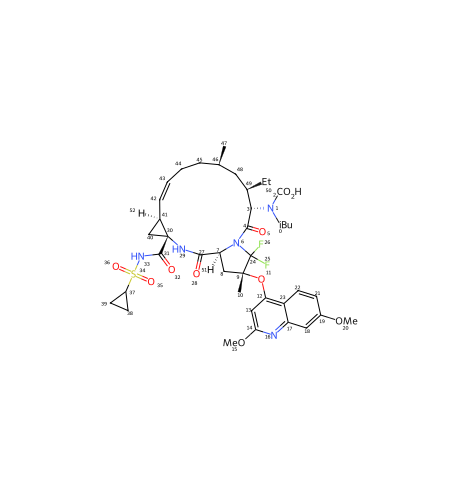 CCC(C)N(C(=O)O)[C@@H]1C(=O)N2[C@@H](C[C@@](C)(Oc3cc(OC)nc4cc(OC)ccc34)C2(F)F)C(=O)N[C@]2(C(=O)NS(=O)(=O)C3CC3)C[C@H]2/C=C\CC[C@@H](C)C[C@H]1CC